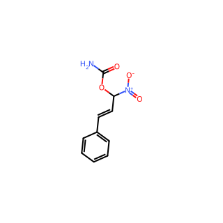 NC(=O)OC(C=Cc1ccccc1)[N+](=O)[O-]